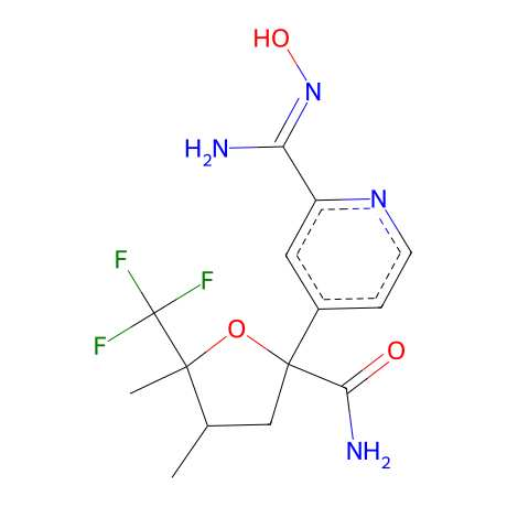 CC1CC(C(N)=O)(c2ccnc(/C(N)=N/O)c2)OC1(C)C(F)(F)F